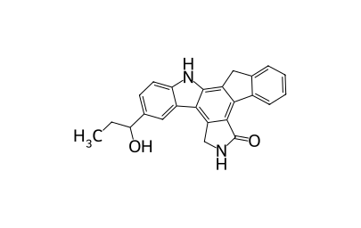 CCC(O)c1ccc2[nH]c3c4c(c5c(c3c2c1)CNC5=O)-c1ccccc1C4